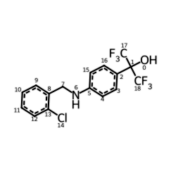 OC(c1ccc(NCc2ccccc2Cl)cc1)(C(F)(F)F)C(F)(F)F